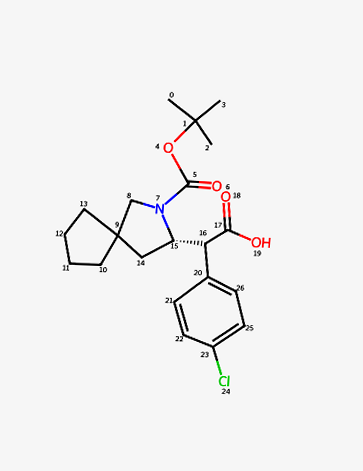 CC(C)(C)OC(=O)N1CC2(CCCC2)C[C@H]1C(C(=O)O)c1ccc(Cl)cc1